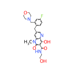 Cn1c(=O)c(C(=O)NCCO)c(O)c2ncc(Cc3ccc(F)cc3CN3CCOCC3)cc21